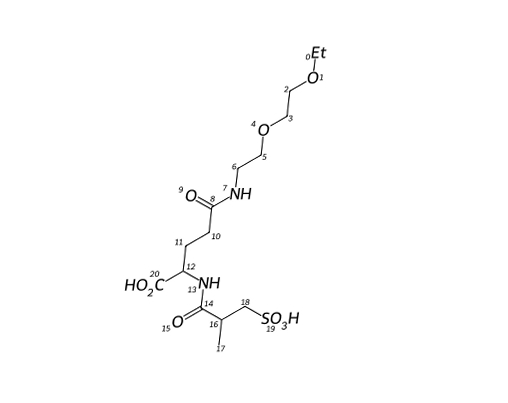 CCOCCOCCNC(=O)CCC(NC(=O)C(C)CS(=O)(=O)O)C(=O)O